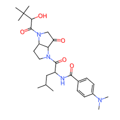 CC(C)CC(NC(=O)c1ccc(N(C)C)cc1)C(=O)N1CCC2C1C(=O)CN2C(=O)C(O)C(C)(C)C